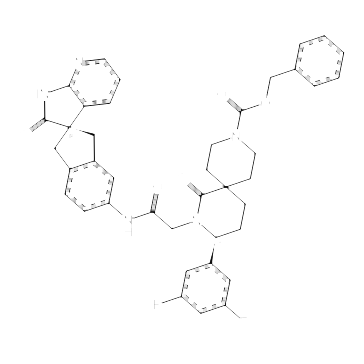 O=C(CN1C(=O)C2(CC[C@H]1c1cc(F)cc(F)c1)CCN(C(=O)OCc1ccccc1)CC2)Nc1ccc2c(c1)C[C@@]1(C2)C(=O)Nc2ncccc21